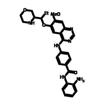 CCC(Oc1cc2c(Nc3ccc(C(=O)Nc4ccccc4N)cc3)ncnc2cc1OC)C1COCCN1